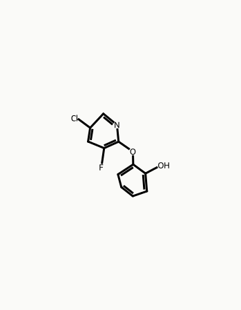 Oc1ccccc1Oc1ncc(Cl)cc1F